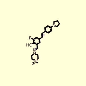 C[N+]1([O-])CCN(/N=C/c2cc(/C=C/c3ccc(N4CCCC4)cc3)cc(F)c2O)CC1